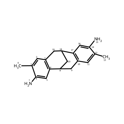 Cc1cc2c(cc1N)C1Cc3cc(C)c(N)cc3C(C2)C1